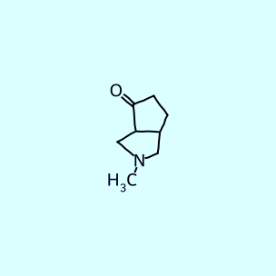 CN1CC2CCC(=O)C2C1